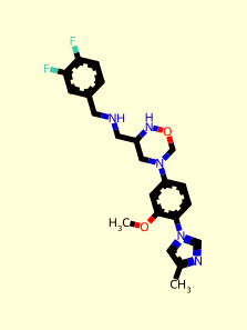 COc1cc(N2CONC(CNCc3ccc(F)c(F)c3)C2)ccc1-n1cnc(C)c1